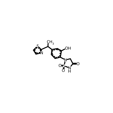 CC(c1ccc(N2CC(=O)NS2(=O)=O)c(O)c1)c1nccs1